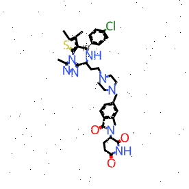 Cc1sc2c(c1C)[C@H](c1ccc(Cl)cc1)NC(CCN1CCN(Cc3ccc4c(c3)CN(C3CCC(=O)NC3=O)C4=O)CC1)c1nnc(C)n1-2